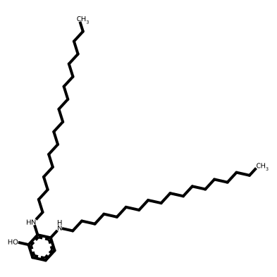 CCCCCCCCCCCCCCCCCCNc1cccc(O)c1NCCCCCCCCCCCCCCCCCC